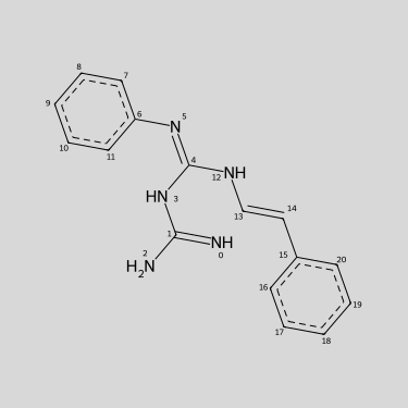 N=C(N)NC(=Nc1ccccc1)NC=Cc1ccccc1